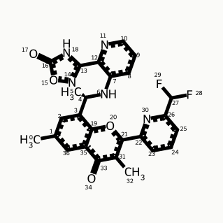 Cc1cc([C@@H](C)Nc2cccnc2-c2noc(=O)[nH]2)c2oc(-c3cccc(C(F)F)n3)c(C)c(=O)c2c1